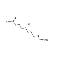 CCCCCCCCCCCCCCCCSC(N)=S.[Zn]